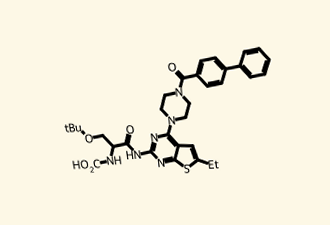 CCc1cc2c(N3CCN(C(=O)c4ccc(-c5ccccc5)cc4)CC3)nc(NC(=O)C(COC(C)(C)C)NC(=O)O)nc2s1